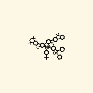 CC(C)(C)c1ccc(Nc2cc3oc4cc5c(cc4c3cc2-c2ccc3c4cc6c(cc4n4c3c2Bc2cc3oc(-c7ccccc7)c(-c7ccccc7)c3cc2-4)-c2ccccc2C6(C)C)C(C)(C)CCC5(C)C)cc1